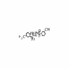 CCn1c([C@@H](C)NS(=O)(=O)c2cccc(C#N)c2)nc2ccc(C(F)(F)F)cc21